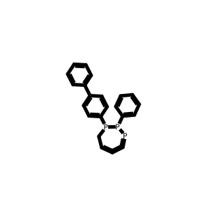 C1=C=PP(c2ccccc2)P(c2ccc(-c3ccccc3)cc2)CC=1